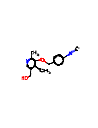 [C-]#[N+]c1ccc(COc2c(C)ncc(CO)c2C)cc1